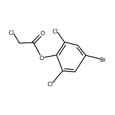 O=C(CCl)Oc1c(Cl)cc(Br)cc1Cl